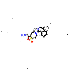 Cc1cnc(N2CC[C@H]([SH](=O)=O)C(C(=O)CN)CC2C)c2ccccc12